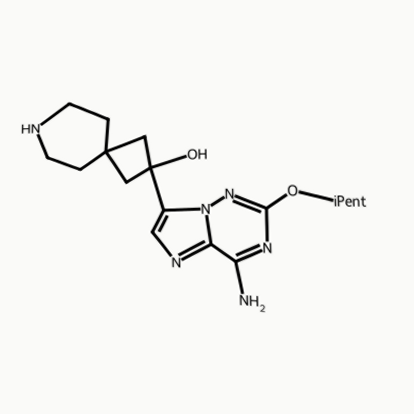 CCCC(C)Oc1nc(N)c2ncc(C3(O)CC4(CCNCC4)C3)n2n1